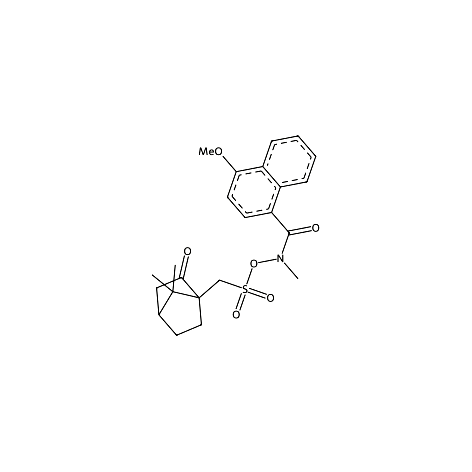 COc1ccc(C(=O)N(C)OS(=O)(=O)CC23CCC(CC2=O)C3(C)C)c2ccccc12